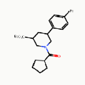 CCOC(=O)C1CC(c2ccc(C(C)C)cc2)CN(C(=O)C2CCCC2)C1